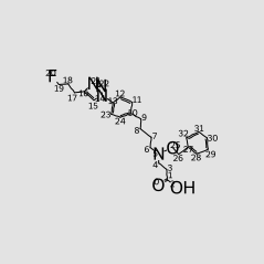 O=C(O)CCN(CCCCc1ccc(-n2cc(CCCF)nn2)cc1)OCc1ccccc1